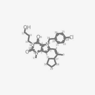 CC(=Cc1cc2c(c(=O)n(CCCO)c(=O)n2C)n1Cc1ccc(Cl)cc1)C1CCCC1